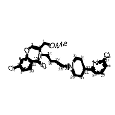 COCC1=COc2cc(Cl)ccc2C(=O)N1CCCCN1CCC(c2cccc(Cl)n2)CC1